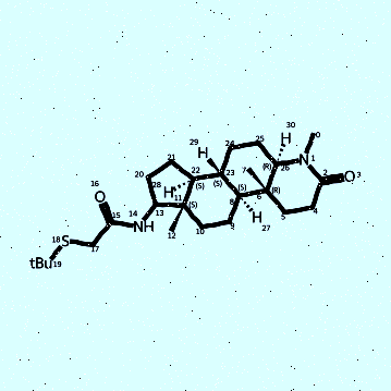 CN1C(=O)CC[C@]2(C)[C@H]3CC[C@]4(C)C(NC(=O)CSC(C)(C)C)CC[C@H]4[C@@H]3CC[C@@H]12